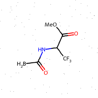 BC(=O)NC(C(=O)OC)C(F)(F)F